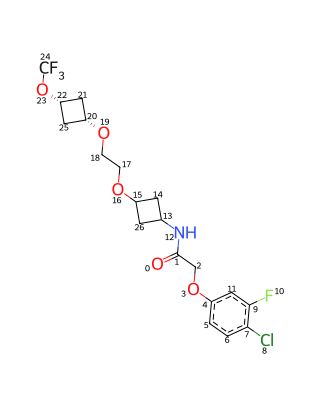 O=C(COc1ccc(Cl)c(F)c1)NC1CC(OCCO[C@H]2C[C@@H](OC(F)(F)F)C2)C1